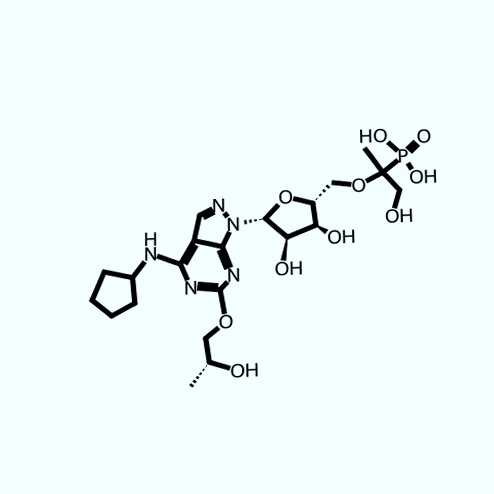 C[C@@H](O)COc1nc(NC2CCCC2)c2cnn([C@@H]3O[C@H](COC(C)(CO)P(=O)(O)O)[C@@H](O)[C@H]3O)c2n1